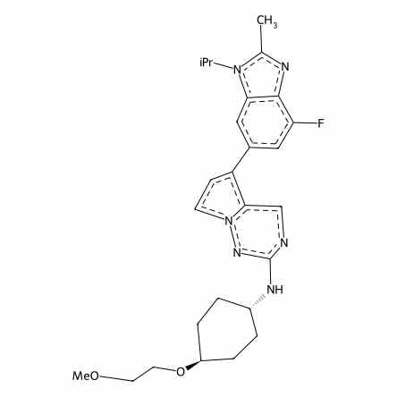 COCCO[C@H]1CC[C@H](Nc2ncc3c(-c4cc(F)c5nc(C)n(C(C)C)c5c4)ccn3n2)CC1